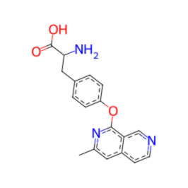 Cc1cc2ccncc2c(Oc2ccc(CC(N)C(=O)O)cc2)n1